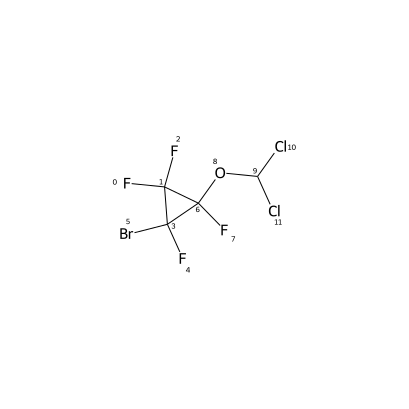 FC1(F)C(F)(Br)C1(F)OC(Cl)Cl